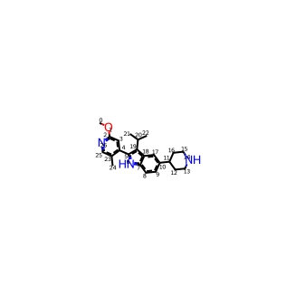 COc1cc(-c2[nH]c3ccc(C4CCNCC4)cc3c2C(C)C)c(C)cn1